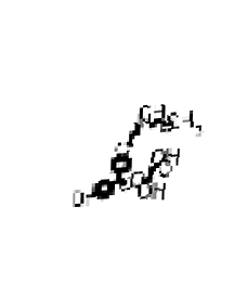 COCCN(C)CC=CCOc1ccc(C(=O)c2ccc(Br)cc2)cc1.O=C(O)C=CC(=O)O